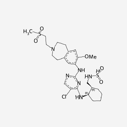 COc1cc2c(cc1Nc1ncc(Cl)c(N[C@@H]3CCCC[C@@H]3CN[SH](=O)=O)n1)CCN(CCS(C)(=O)=O)CC2